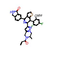 C=CC(=O)N1Cc2cc(-c3nc(-c4ccc5c(c4)C(=O)NC5)c4ccsc4c3-c3c(F)cc(F)cc3OC)nn2CC1C